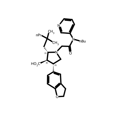 CCCCN(C(=O)CN1C[C@H](c2ccc3c(c2)CCO3)[C@@H](C(=O)O)[C@@H]1CC(C)(C)CCC)c1cccnc1